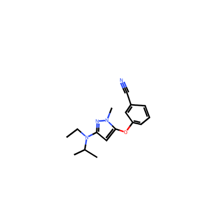 CCN(c1cc(Oc2cccc(C#N)c2)n(C)n1)C(C)C